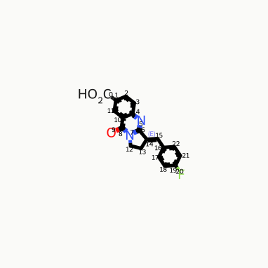 O=C(O)c1ccc2nc3n(c(=O)c2c1)CC/C3=C\c1ccc(F)cc1